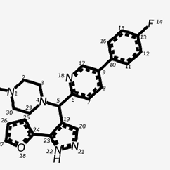 CN1CCN(C(c2ccc(-c3ccc(F)cc3)cn2)c2cn[nH]c2-c2ccco2)CC1